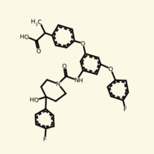 CC(C(=O)O)c1ccc(Oc2cc(NC(=O)N3CCC(O)(c4ccc(F)cc4)CC3)cc(Oc3ccc(F)cc3)c2)cc1